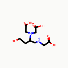 O=C(O)CNCC(CCO)N(CC(=O)O)CC(=O)O